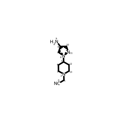 N#CCN1CCC(n2cc(N)cn2)CC1